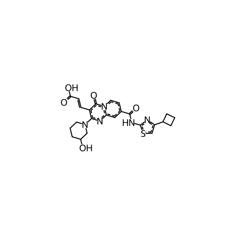 O=C(O)C=Cc1c(N2CCCC(O)C2)nc2cc(C(=O)Nc3nc(C4CCC4)cs3)ccn2c1=O